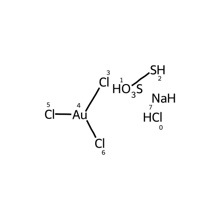 Cl.O=S(=O)(O)S.[Cl][Au]([Cl])[Cl].[NaH]